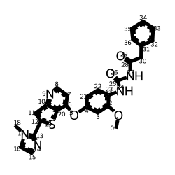 COc1cc(Oc2ccnc3cc(-c4nccn4C)sc23)ccc1NC(=O)NC(=O)Cc1ccccc1